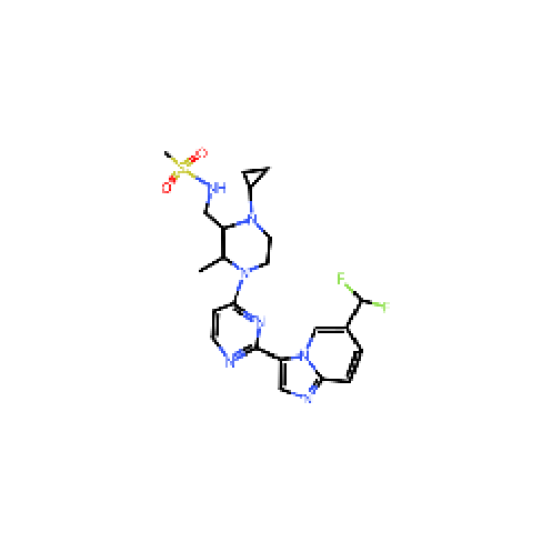 CC1C(CNS(C)(=O)=O)N(C2CC2)CCN1c1ccnc(-c2cnc3ccc(C(F)F)cn23)n1